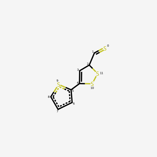 S=CC1C=C(c2cccs2)SS1